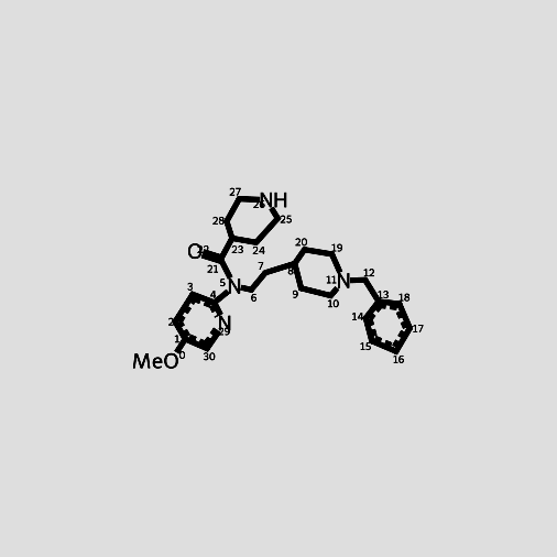 COc1ccc(N(CCC2CCN(Cc3ccccc3)CC2)C(=O)C2CCNCC2)nc1